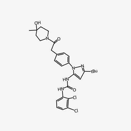 CC1(O)CCN(C(=O)Cc2ccc(-n3nc(C(C)(C)C)cc3NC(=O)Nc3cccc(Cl)c3Cl)cc2)CC1